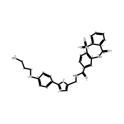 O=C(NCc1cnc(-c2ccc(OCCCO)cc2)s1)c1ccc2c(c1)NC(=O)c1ccccc1S2(=O)=O